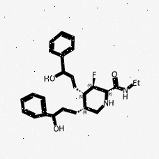 CCNC(=O)[C@H]1NC[C@H](CCC(O)c2ccccc2)[C@H](CCC(O)c2ccccc2)[C@H]1F